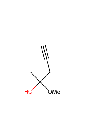 C#CCC(C)(O)OC